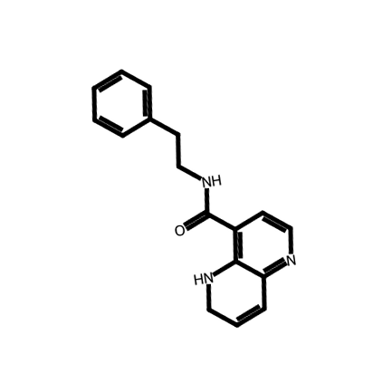 O=C(NCCc1ccccc1)c1ccnc2c1NCC=C2